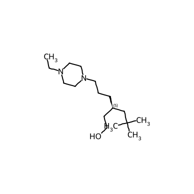 CCN1CCN(CCC[C@H](CCO)CC(C)(C)C)CC1